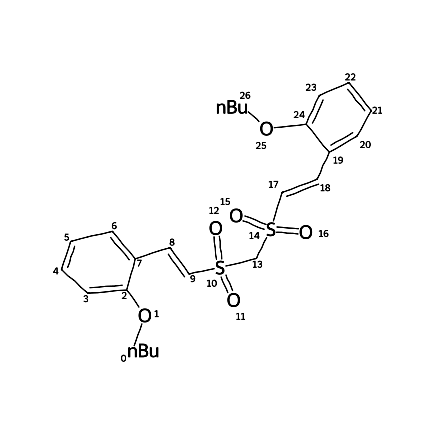 CCCCOc1ccccc1/C=C/S(=O)(=O)CS(=O)(=O)/C=C/c1ccccc1OCCCC